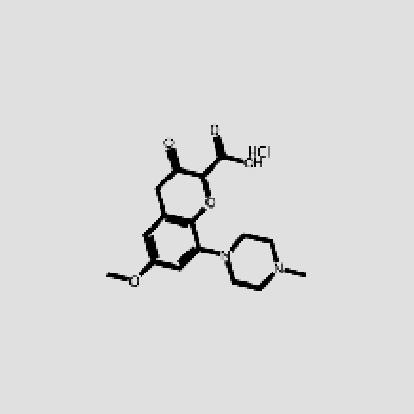 COc1cc2c(c(N3CCN(C)CC3)c1)OC(C(=O)O)C(=O)C2.Cl